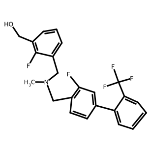 CN(Cc1ccc(-c2ccccc2C(F)(F)F)cc1F)Cc1cccc(CO)c1F